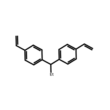 C=Cc1ccc(C(CC)c2ccc(C=C)cc2)cc1